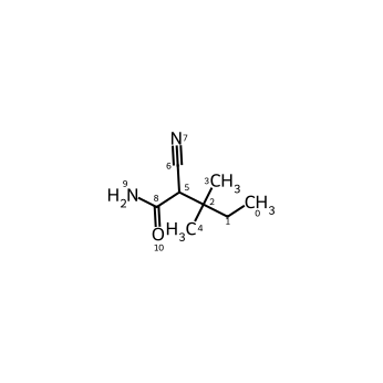 CCC(C)(C)C(C#N)C(N)=O